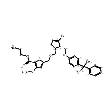 COc1cc(COC[C@H]2CC=C(Cl)[C@@H]2CSc2ccc(C(C)(C)c3ccccc3)cc2)sc1C(=O)OCCO